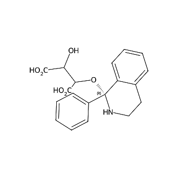 O=C(O)C(O)C(O[C@@]1(c2ccccc2)NCCc2ccccc21)C(=O)O